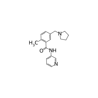 Cc1ccc(CN2CCCC2)cc1C(=O)Nc1cccnc1